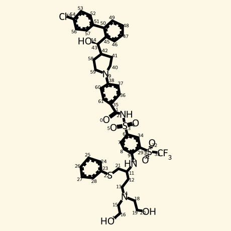 O=C(NS(=O)(=O)c1ccc(NC(CCN(CCO)CCO)CSc2ccccc2)c(S(=O)(=O)C(F)(F)F)c1)c1ccc(N2CCC([C@@H](O)c3ccccc3-c3ccc(Cl)cc3)CC2)cc1